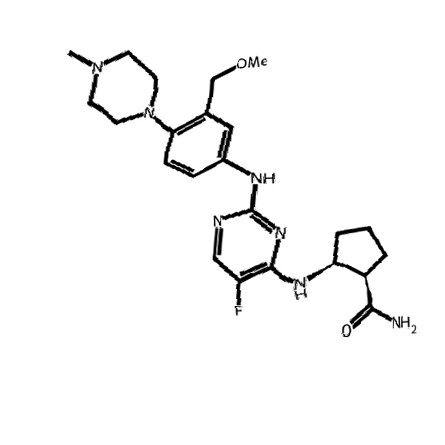 COCc1cc(Nc2ncc(F)c(N[C@H]3CCC[C@H]3C(N)=O)n2)ccc1N1CCN(C)CC1